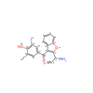 CCCC(N)c1oc2ccccc2c1C(=O)c1cc(I)c(O)c(I)c1